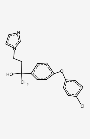 CC(O)(CCn1ccnc1)c1ccc(Oc2ccc(Cl)cc2)cc1